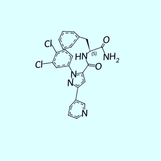 NC(=O)[C@H](Cc1ccccc1)NC(=O)c1cc(-c2cccnc2)nn1-c1ccc(Cl)c(Cl)c1